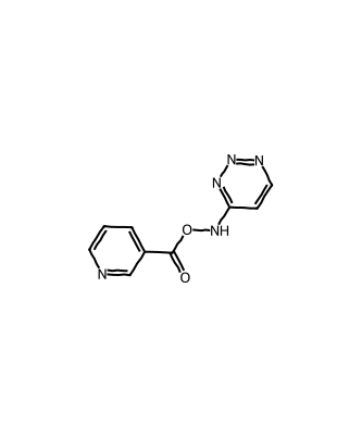 O=C(ONc1ccnnn1)c1cccnc1